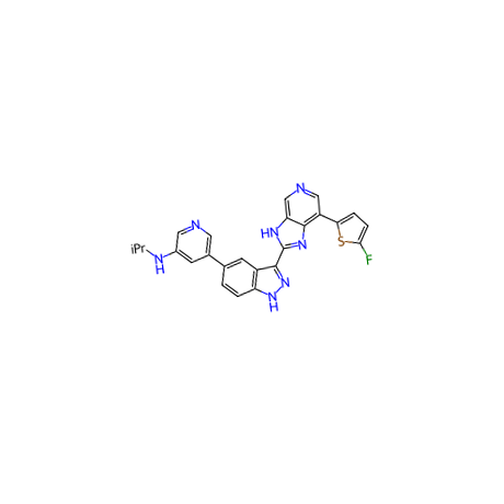 CC(C)Nc1cncc(-c2ccc3[nH]nc(-c4nc5c(-c6ccc(F)s6)cncc5[nH]4)c3c2)c1